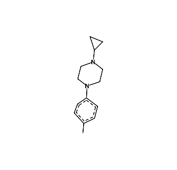 Cc1ccc(N2CCN(C3CC3)CC2)cc1